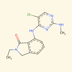 CCN1Cc2cccc(Nc3nc(NC)ncc3Cl)c2C1=O